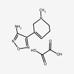 CN1CCC=C(c2nonc2N)C1.O=C(O)C(=O)O